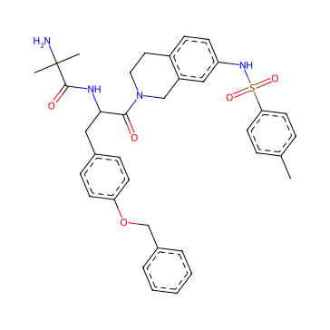 Cc1ccc(S(=O)(=O)Nc2ccc3c(c2)CN(C(=O)C(Cc2ccc(OCc4ccccc4)cc2)NC(=O)C(C)(C)N)CC3)cc1